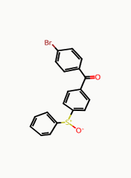 O=C(c1ccc(Br)cc1)c1ccc([S+]([O-])c2ccccc2)cc1